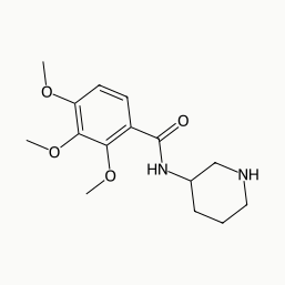 COc1ccc(C(=O)NC2CCCNC2)c(OC)c1OC